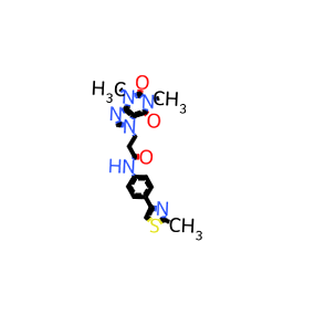 Cc1nc(-c2ccc(NC(=O)CCn3cnc4c3c(=O)n(C)c(=O)n4C)cc2)cs1